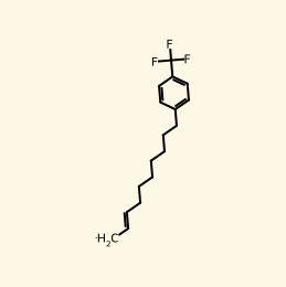 [CH2]C=CCCCCCCCc1ccc(C(F)(F)F)cc1